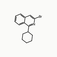 Brc1cc2ccccc2c(C2CCCCC2)n1